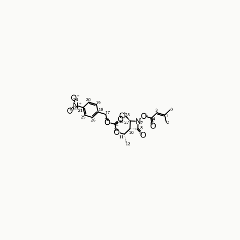 CC(C)=CC(=O)ON1C(=O)[C@H]([C@H](C)OC(=O)OCc2ccc([N+](=O)[O-])cc2)[C@H]1Cl